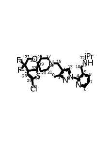 Cc1nn(-c2ncccc2CNC(C)C)cc1CN1CCC2(CC1)OCC(F)(F)C1C=C(Cl)SC12